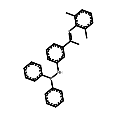 CC(=Nc1c(C)cccc1C)c1cccc(NP(c2ccccc2)c2ccccc2)c1